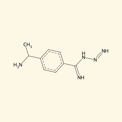 CC(N)c1ccc(C(=N)NN=N)cc1